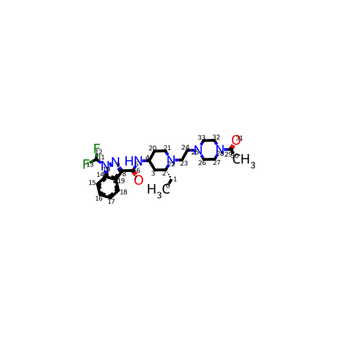 CC[C@@H]1CC(NC(=O)c2nn(C(F)F)c3ccccc23)CCN1CCN1CCN(C(C)=O)CC1